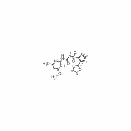 COC1=CC(C)=NN(NC(=O)NS(=O)(=O)c2sccc2C2OCCO2)N1